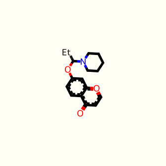 CCC(Oc1ccc2c(=O)ccoc2c1)N1CCCCC1